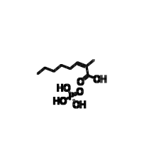 CCCCCC=C(C)C(=O)O.O=P(O)(O)O